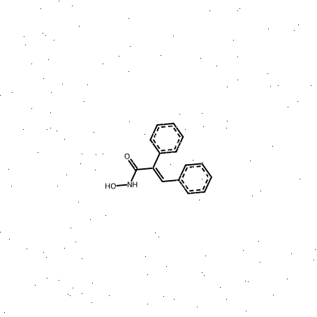 O=C(NO)/C(=C/c1ccccc1)c1ccccc1